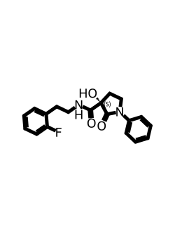 O=C(NCCc1ccccc1F)[C@@]1(O)CCN(c2ccccc2)C1=O